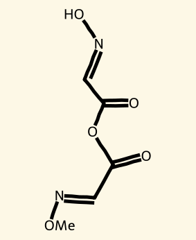 CON=CC(=O)OC(=O)C=NO